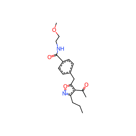 CCCc1noc(Cc2ccc(C(=O)NCCOC)cc2)c1C(C)=O